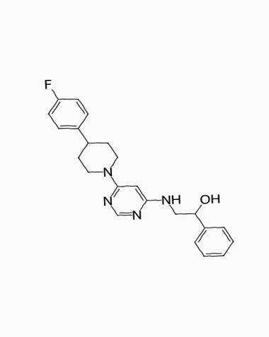 OC(CNc1cc(N2CCC(c3ccc(F)cc3)CC2)ncn1)c1ccccc1